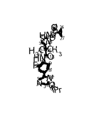 CC(C)Oc1cncc(-c2ccc(NC(=O)C(C)(C)c3csc(NS(=O)(=O)C4CC4)n3)c(F)c2)n1